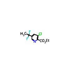 CCOC(=O)c1ncc(C(C)(F)F)cc1Cl